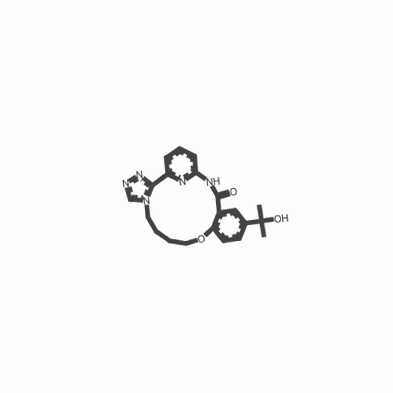 CC(C)(O)c1ccc2c(c1)C(=O)Nc1cccc(n1)-c1nncn1CCCCO2